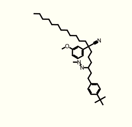 CCCCCCCCCCCCC(C#N)(CCCC(CCc1ccc(C(C)(C)C)cc1)N=NC)c1cccc(OC)c1